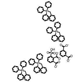 O=C([O-])c1cccc(C(=O)[O-])c1.O=C([O-])c1cccc(S(=O)(=O)O)c1C(=O)[O-].c1ccc(C[P+](c2ccccc2)(c2ccccc2)c2ccccc2)cc1.c1ccc(C[P+](c2ccccc2)(c2ccccc2)c2ccccc2)cc1.c1ccc(C[P+](c2ccccc2)(c2ccccc2)c2ccccc2)cc1.c1ccc(C[P+](c2ccccc2)(c2ccccc2)c2ccccc2)cc1